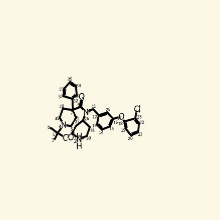 CC(C)(C(=O)O)N1CCC(C(=O)N(Cc2cccc(Oc3ccccc3Cl)c2)C2CCNCC2)(c2ccccc2)CC1